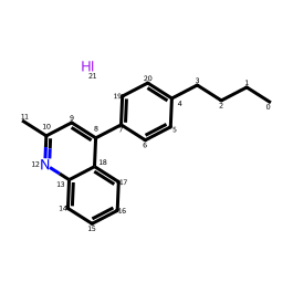 CCCCc1ccc(-c2cc(C)nc3ccccc23)cc1.I